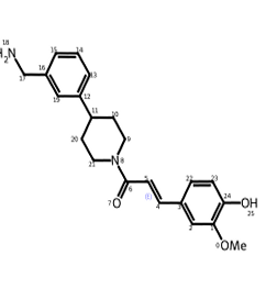 COc1cc(/C=C/C(=O)N2CCC(c3cccc(CN)c3)CC2)ccc1O